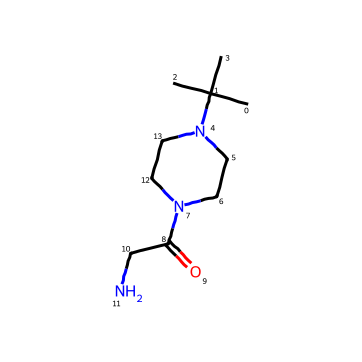 CC(C)(C)N1CCN(C(=O)CN)CC1